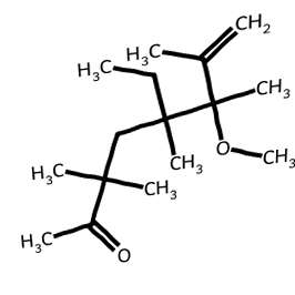 C=C(C)C(C)(OC)C(C)(CC)CC(C)(C)C(C)=O